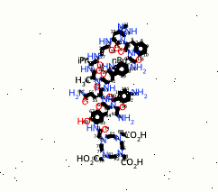 CCCC[C@H](NC(=O)[C@H](Cc1ccccc1)NC(=O)[C@H](Cc1c[nH]cn1)NC(=O)CCNC(=O)[C@@H](NC(=O)[C@H](C)NC(=O)[C@H](Cc1c[nH]c2ccccc12)NC(=O)[C@H](CCC(N)=O)NC(=O)[C@@H](Cc1ccc(O)c(NC(=O)CN2CCN(CC(=O)O)CCN(CC(=O)O)CCN(CC(=O)O)CC2)c1)N(C(=O)CN)C(=O)c1ccc(N)cc1)C(C)C)C(N)=O